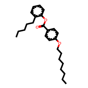 CCCCCCCCOc1ccc(C(=O)Oc2ccccc2CCCCC)cc1